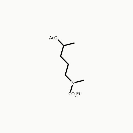 CCOC(=O)N(C)CCCC(C)OC(C)=O